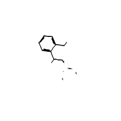 CCO[SiH](CC(C)c1ccccc1CCl)OCC